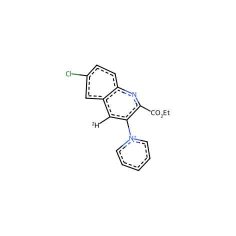 [2H]c1c(-[n+]2ccccc2)c(C(=O)OCC)nc2ccc(Cl)cc12